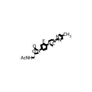 CC(=O)NC[C@H]1CN(c2ccc(N3CCN(c4ncc(C)cn4)CC3)c(F)c2)C(=O)O1